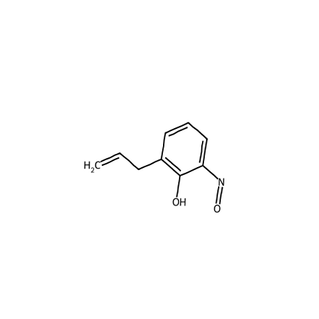 C=CCc1cccc(N=O)c1O